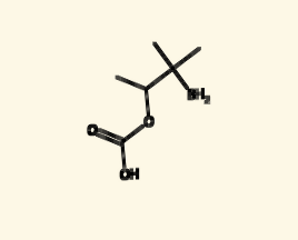 BC(C)(C)C(C)OC(=O)O